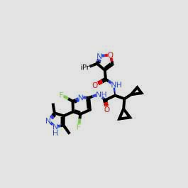 Cc1n[nH]c(C)c1-c1c(F)cc(NC(=O)[C@@H](NC(=O)c2conc2C(C)C)C(C2CC2)C2CC2)nc1F